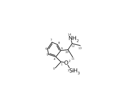 CC(O[SiH3])c1ccccc1C(C)C(C)N